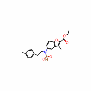 CCOC(=O)c1oc2ccc(N(CCc3ccc(C)cc3)[SH](=O)=O)cc2c1C